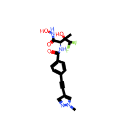 Cn1cc(C#Cc2ccc(C(=O)N[C@H](C(=O)NO)C(C)(O)C(F)F)cc2)cn1